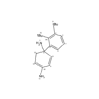 CC(C)(C)c1cccc(C2(N)C=CC(N)=CC2)c1C(C)(C)C